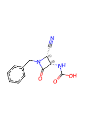 N#C[C@@H]1[C@H](NC(=O)O)C(=O)N1Cc1ccccc1